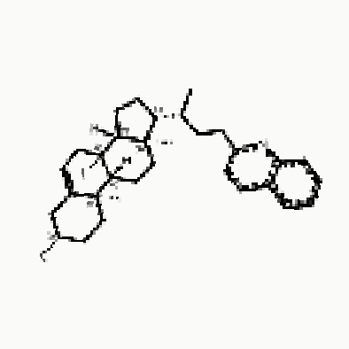 CC(CCc1ccc2ccccc2n1)[C@H]1CC[C@H]2[C@@H]3CC=C4C[C@@H](O)CC[C@]4(C)[C@H]3CC[C@]12C